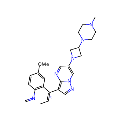 C=Nc1ccc(OC)cc1/C(=C\C)c1cnn2cc(N3CC(N4CCN(C)CC4)C3)cnc12